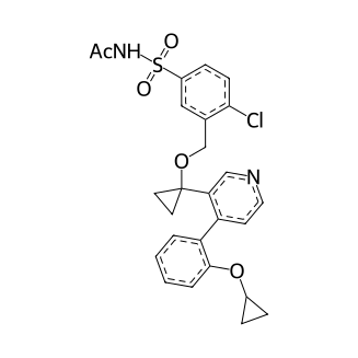 CC(=O)NS(=O)(=O)c1ccc(Cl)c(COC2(c3cnccc3-c3ccccc3OC3CC3)CC2)c1